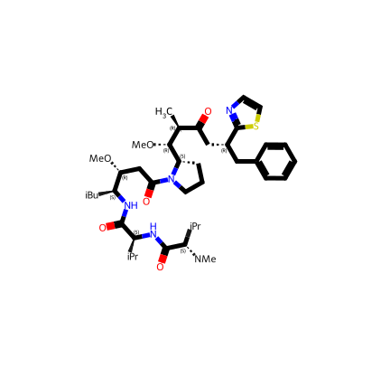 CCC(C)[C@H](NC(=O)[C@@H](NC(=O)[C@@H](NC)C(C)C)C(C)C)[C@@H](CC(=O)N1CCC[C@H]1[C@H](OC)[C@@H](C)C(=O)C[C@@H](Cc1ccccc1)c1nccs1)OC